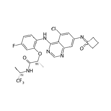 C[C@H](NC(=O)[C@@H](C)Oc1cc(F)ccc1Nc1ncnc2cc(N=S3(=O)CCC3)cc(Cl)c12)C(F)(F)F